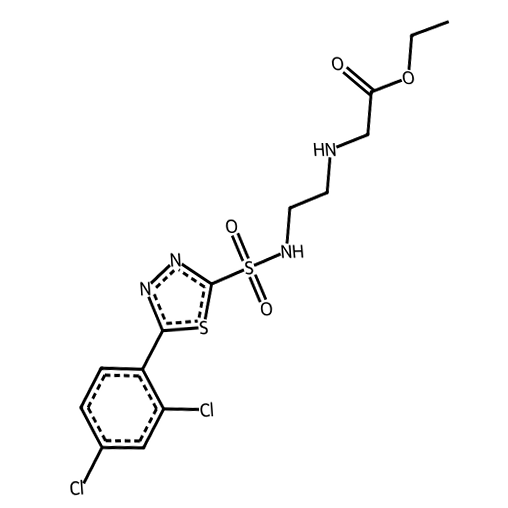 CCOC(=O)CNCCNS(=O)(=O)c1nnc(-c2ccc(Cl)cc2Cl)s1